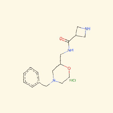 Cl.O=C(NCC1CN(Cc2ccccc2)CCO1)C1CNC1